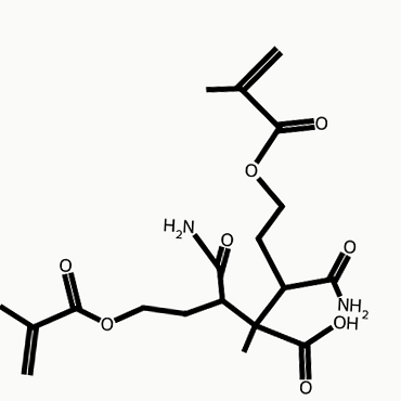 C=C(C)C(=O)OCCC(C(N)=O)C(C)(C(=O)O)C(CCOC(=O)C(=C)C)C(N)=O